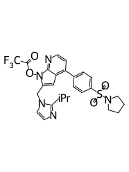 CC(C)c1nccn1Cc1cc2c(-c3ccc(S(=O)(=O)N4CCCC4)cc3)ccnc2n1OC(=O)C(F)(F)F